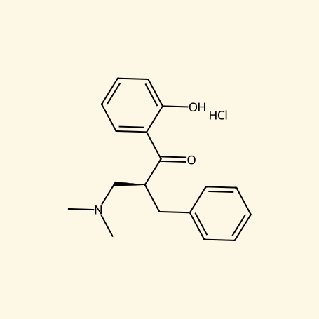 CN(C)C[C@H](Cc1ccccc1)C(=O)c1ccccc1O.Cl